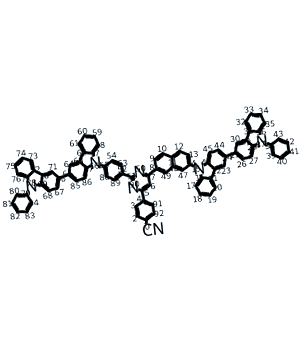 N#Cc1ccc(-c2cc(-c3ccc4ccc(-n5c6ccccc6c6cc(-c7ccc8c(c7)c7ccccc7n8-c7ccccc7)ccc65)cc4c3)nc(-c3ccc(-n4c5ccccc5c5cc(-c6ccc7c(c6)c6ccccc6n7-c6ccccc6)ccc54)cc3)n2)cc1